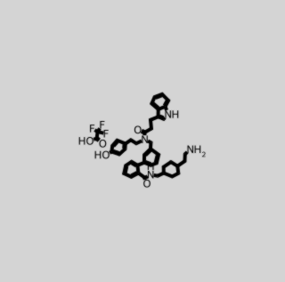 NCCC1CCC(CNC(=O)c2ccccc2-c2cccc(CN(CCc3ccc(O)cc3)C(=O)CCc3c[nH]c4ccccc34)c2)CC1.O=C(O)C(F)(F)F